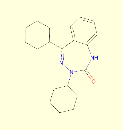 O=C1Nc2ccccc2C(C2CCCCC2)=NN1C1CCCCC1